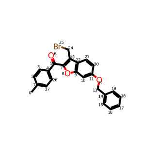 Cc1ccc(C(=O)c2oc3cc(OCc4ccccc4)ccc3c2CBr)cc1